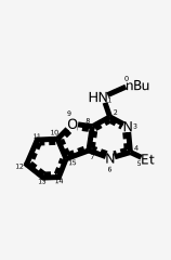 CCCCNc1nc(CC)nc2c1oc1ccccc12